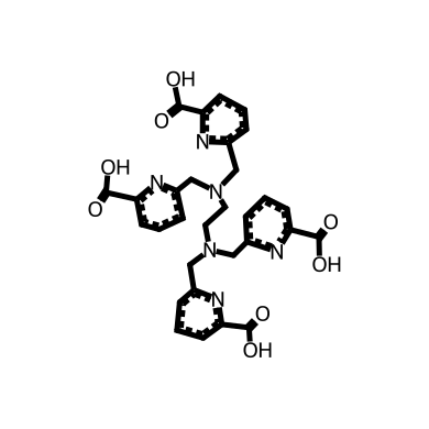 O=C(O)c1cccc(CN(CCN(Cc2cccc(C(=O)O)n2)Cc2cccc(C(=O)O)n2)Cc2cccc(C(=O)O)n2)n1